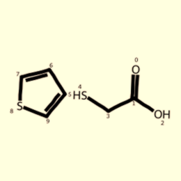 O=C(O)CS.c1ccsc1